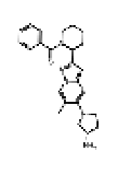 Cc1cn2nc([C@@H]3CCCCN3C(=O)c3ccccc3)cc2nc1N1CC[C@H](N)C1